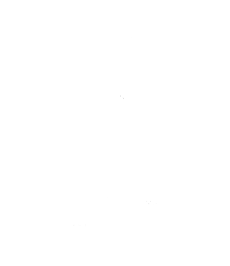 CCCCCCCCOc1ccc(C=Cc2ccc3ccccc3n2)cc1OC